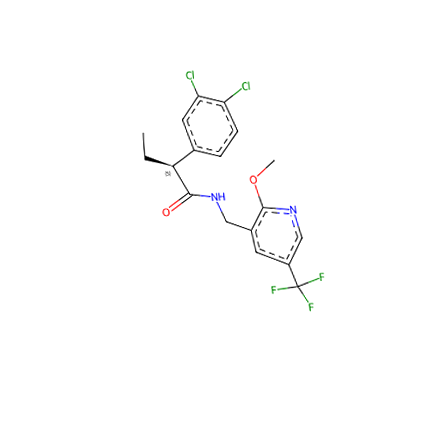 CC[C@H](C(=O)NCc1cc(C(F)(F)F)cnc1OC)c1ccc(Cl)c(Cl)c1